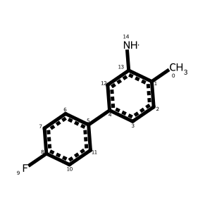 Cc1ccc(-c2ccc(F)cc2)cc1[NH]